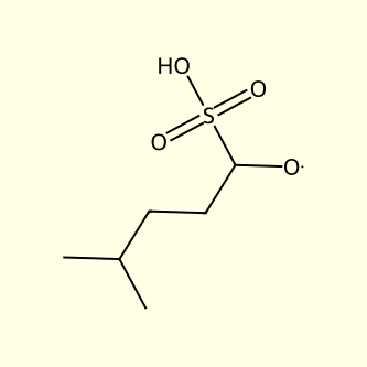 CC(C)CCC([O])S(=O)(=O)O